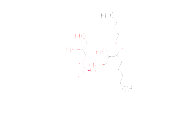 CCCCCOC(CCCCC)C(O)CO.O=P(=O)OCC(O)CO